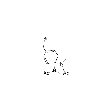 CC(=O)N(C)C1(N(C)C(C)=O)C=CC(CBr)=CC1